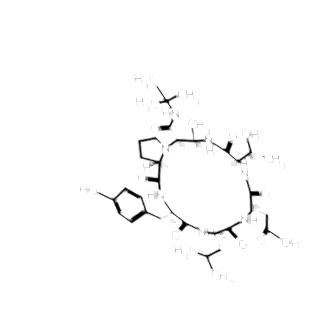 CC(C)C[C@@H]1NC(=O)[C@H](Cc2ccc(O)cc2)NC(=O)[C@@H]2CCCN2[C@H](C(=O)NC(C)(C)C)[C@@H](C)NC(=O)[C@H]([C@@H](C)O)NC(=O)[C@H](CC(=O)O)NC1=O